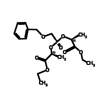 CCOC(=O)[C@H](C)OP(=O)(COCc1ccccc1)O[C@@H](C)C(=O)OCC